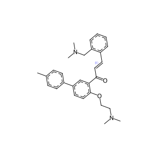 Cc1ccc(-c2ccc(OCCN(C)C)c(C(=O)/C=C/c3ccccc3CN(C)C)c2)cc1